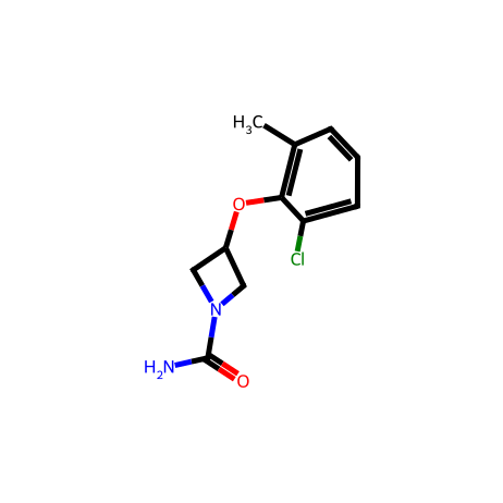 Cc1cccc(Cl)c1OC1CN(C(N)=O)C1